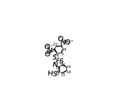 O=[N+]([O-])c1ccc(Sc2nc3c(S)cccc3s2)c([N+](=O)[O-])c1